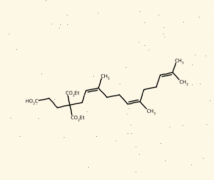 CCOC(=O)C(CC=C(C)CCC=C(C)CCC=C(C)C)(CCC(=O)O)C(=O)OCC